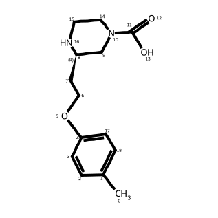 Cc1ccc(OCC[C@@H]2CN(C(=O)O)CCN2)cc1